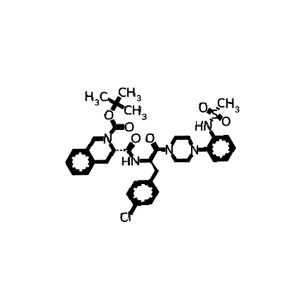 CC(C)(C)OC(=O)N1Cc2ccccc2C[C@H]1C(=O)N[C@H](Cc1ccc(Cl)cc1)C(=O)N1CCN(c2ccccc2NS(C)(=O)=O)CC1